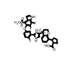 C[C@@]1(c2c[nH]c(-c3cc(Oc4c(F)c(F)c5[nH]ccc5c4S(C)(=O)=O)ccc3F)n2)CCOc2c(C3CCCC3C(=O)O)cccc21